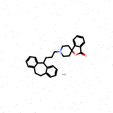 Cl.O=C1OC2(CCN(CCCC3c4ccccc4CCc4ccccc43)CC2)c2ccccc21